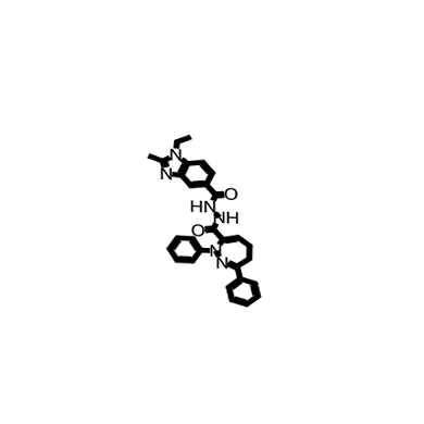 CCn1c(C)nc2cc(C(=O)NNC(=O)C3=CCCC(c4ccccc4)=NN3c3ccccc3)ccc21